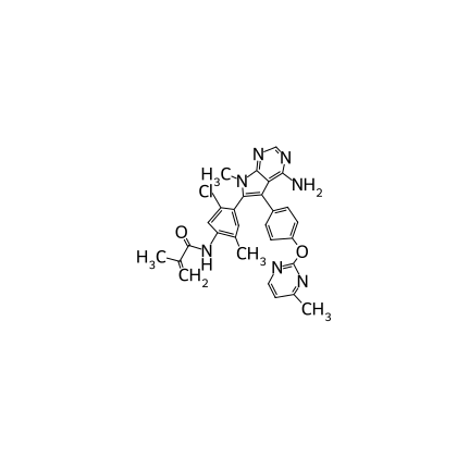 C=C(C)C(=O)Nc1cc(Cl)c(-c2c(-c3ccc(Oc4nccc(C)n4)cc3)c3c(N)ncnc3n2C)cc1C